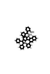 N=C1C=CC=C/C1=C(/Nn1c2ccc3c(-c4ccccc4)c(-c4ccccc4)n4c5ccccc5c5cc6ccccc6c1c5c2c34)c1ccccc1